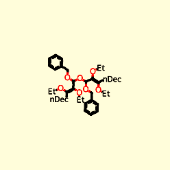 CCCCCCCCCCC(OCC)=C(OCC)C(OCc1ccccc1)OC(OCc1ccccc1)C(OCC)=C(CCCCCCCCCC)OCC